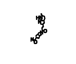 C=C1CCc2cc(/C=C/C(=O)N3CC4C=C(C(=O)N(C)C)CC4C3)cnc2N1